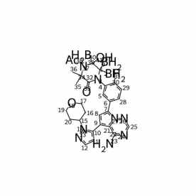 BC1(B)N(c2cc(-c3cc(-c4ccnn4C4CCOCC4)c4c(N)ncnn34)ccc2F)C(=O)C(C)(C)N(C(C)=O)C1(B)O